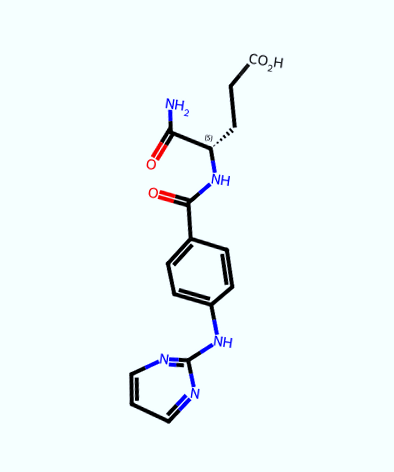 NC(=O)[C@H](CCC(=O)O)NC(=O)c1ccc(Nc2ncccn2)cc1